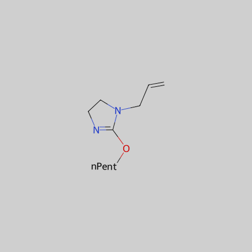 C=CCN1CCN=C1OCCCCC